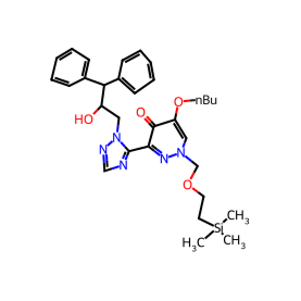 CCCCOc1cn(COCC[Si](C)(C)C)nc(-c2ncnn2CC(O)C(c2ccccc2)c2ccccc2)c1=O